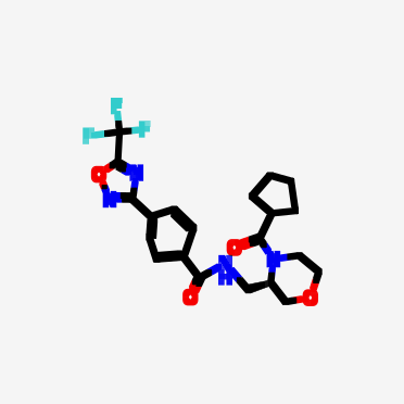 O=C(NC[C@@H]1COCCN1C(=O)C1CCCC1)c1ccc(-c2noc(C(F)(F)F)n2)cc1